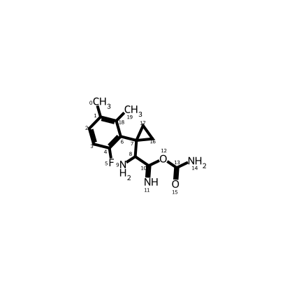 Cc1ccc(F)c(C2(C(N)C(=N)OC(N)=O)CC2)c1C